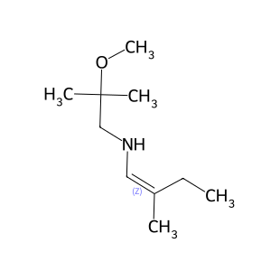 CC/C(C)=C\NCC(C)(C)OC